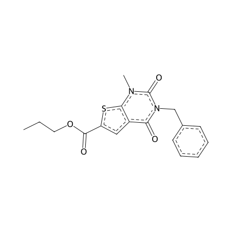 CCCOC(=O)c1cc2c(=O)n(Cc3ccccc3)c(=O)n(C)c2s1